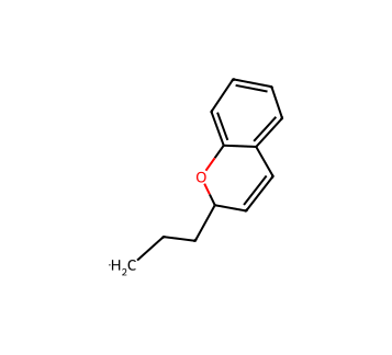 [CH2]CCC1C=Cc2ccccc2O1